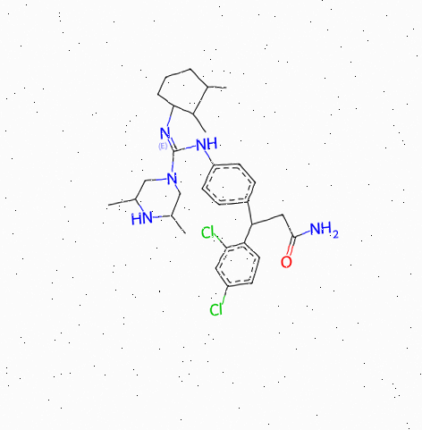 CC1CN(/C(=N/C2CCCC(C)C2C)Nc2ccc(C(CC(N)=O)c3ccc(Cl)cc3Cl)cc2)CC(C)N1